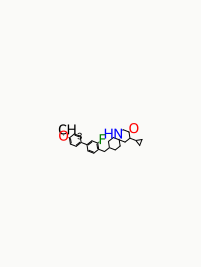 COc1ccc(-c2ccc(CC3CCC4(CC3)CC(C3CC3)C(=O)CN4)c(F)c2)cc1